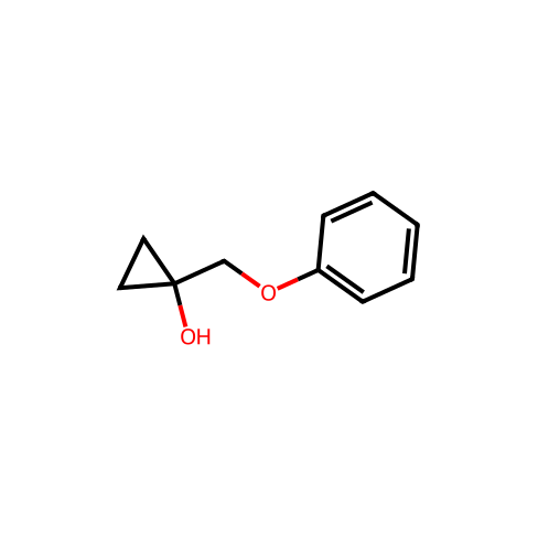 OC1(COc2ccccc2)CC1